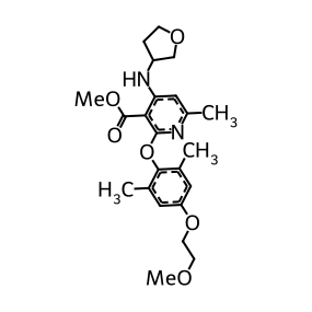 COCCOc1cc(C)c(Oc2nc(C)cc(NC3CCOC3)c2C(=O)OC)c(C)c1